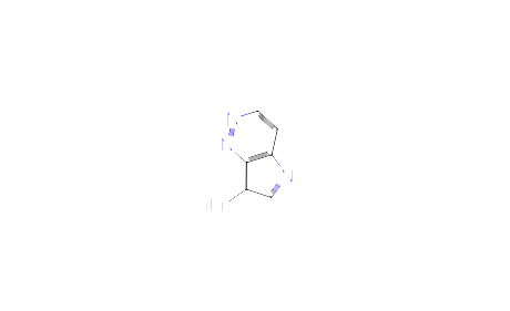 CC(C)C1C=Nc2ccnnc21